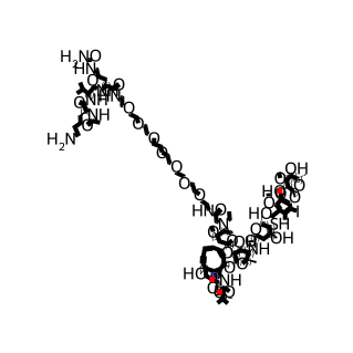 CCN(CC(=O)NCCOCCOCCOCCOCCOCCOCCOCCNC(=O)[C@H](CCCNC(N)=O)NC(=O)[C@@H](NC(=O)[C@H](CCCCN)NC(C)=O)C(C)C)[C@H]1CO[C@@H](O[C@H]2[C@H](O[C@H]3C#CC=CC#C[C@]4(O)CC(=O)C(NC(=O)OC)=C3/C4=C\CSSC(C)C)O[C@H](C)[C@@H](NO[C@H]3C[C@H](O)[C@H]([SH]=C(O)c4c(C)c(I)c(O[C@@H]5O[C@@H](C)[C@H](O)[C@@H](OC)[C@H]5O)c(OC)c4OC)[C@@H](C)O3)[C@@H]2O)C[C@@H]1OC